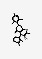 CC1=C(C#N)C(c2cccc(C)c2C)C2=C(CC(c3c(C)cc(C)cc3C)CC2=O)N1